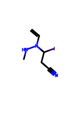 C=CN(NC)C(I)CC#N